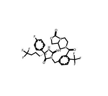 N=C1N[C@](CCCC(F)(F)F)(c2ccc(F)cc2)C(=O)N1Cc1ccc(C(F)(F)F)c(C(=O)N2CCN3C(=O)OCC3C2)c1